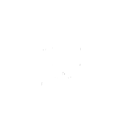 CC(=O)c1cc(F)c([Si](C)(C)C)c([N+](=O)[O-])c1-c1cccc(F)c1